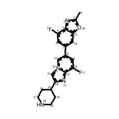 Cc1nc2c(F)cc(-c3cc(F)c4nc(C5CCNCC5)cn4c3)cc2o1